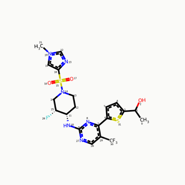 CC(O)c1ccc(-c2nc(N[C@H]3CCN(S(=O)(=O)c4cn(C)cn4)C[C@H]3F)ncc2C(F)(F)F)s1